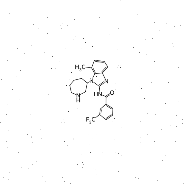 Cc1cccc2nc(NC(=O)c3cccc(C(F)(F)F)c3)n(C3CCCCNC3)c12